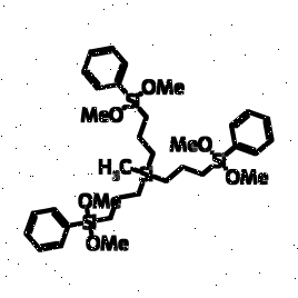 CO[Si](CCC[Si](C)(CCC[Si](OC)(OC)c1ccccc1)CCC[Si](OC)(OC)c1ccccc1)(OC)c1ccccc1